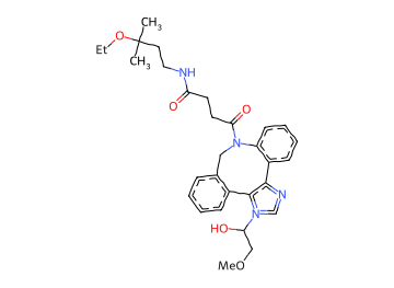 CCOC(C)(C)CCNC(=O)CCC(=O)N1Cc2ccccc2-c2c(ncn2C(O)COC)-c2ccccc21